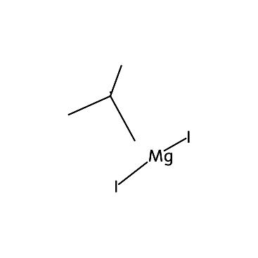 C[C](C)C.[I][Mg][I]